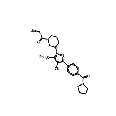 CCOC(=O)c1c(C#N)c(-c2ccc(C(=O)N3CCCC3)cc2)nn1[C@@H]1CCCN(C(=O)OC(C)(C)C)C1